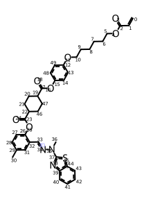 C=CC(=O)OCCCCCCOc1ccc(OC(=O)C2CCC(C(=O)Oc3ccc(C)cc3/C=N/N(C)c3nc4ccccc4s3)CC2)cc1